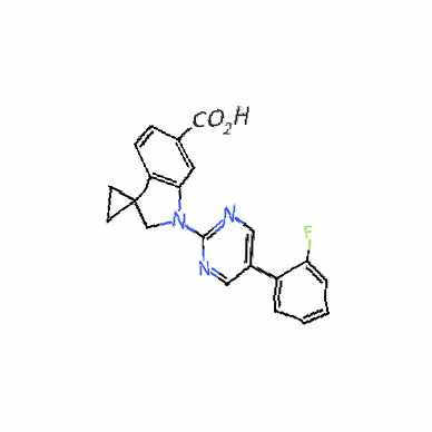 O=C(O)c1ccc2c(c1)N(c1ncc(-c3ccccc3F)cn1)CC21CC1